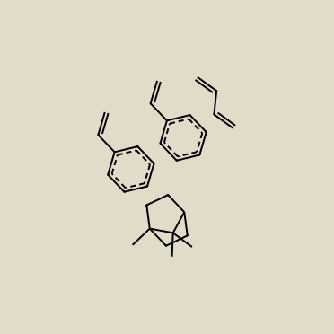 C=CC=C.C=Cc1ccccc1.C=Cc1ccccc1.CC12CCC(CC1)C2(C)C